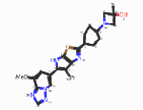 COc1cc(-c2[nH]c3sc(C4CCC(N5CC(C)(O)C5)CC4)nc3c2C(C)C)cn2ncnc12